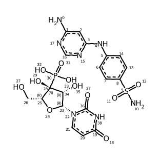 Nc1cc(Nc2ccc(S(N)(=O)=O)cc2)ncn1.O=c1ccn([C@@H]2O[C@H](CO)[C@](O)(P(=O)(O)O)[C@@H]2O)c(=O)[nH]1